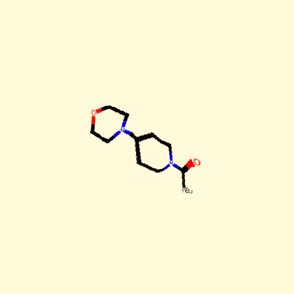 CCCCC(=O)N1CCC(N2CCOCC2)CC1